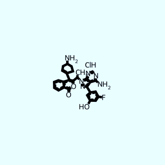 CC(c1oc(=O)c2ccccc2c1C1=CCC(N)CC1)n1nc(-c2cc(O)cc(F)c2)c2c(N)ncnc21.Cl